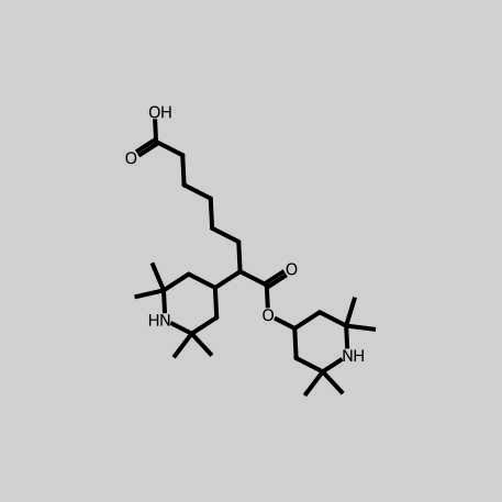 CC1(C)CC(OC(=O)C(CCCCCC(=O)O)C2CC(C)(C)NC(C)(C)C2)CC(C)(C)N1